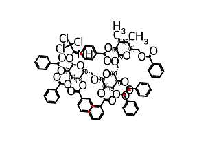 C[C@H]1[C@H](C)[C@@H](COC(=O)c2ccccc2)O[C@@H](OC[C@H]2O[C@@H](OC[C@H]3OC(OC(=N)C(Cl)(Cl)Cl)[C@H](OC(=O)c4ccccc4)[C@@H](OC(=O)c4ccccc4)[C@@H]3OC(=O)c3ccccc3)[C@H](OC(=O)c3ccccc3)[C@@H](OC(=O)c3ccccc3)[C@@H]2OC(=O)c2ccccc2)[C@@H]1OC(=O)c1ccccc1